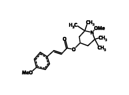 COc1ccc(/C=C/C(=O)OC2CC(C)(C)N(OC)C(C)(C)C2)cc1